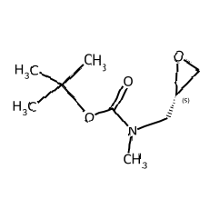 CN(C[C@H]1CO1)C(=O)OC(C)(C)C